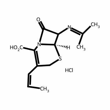 C/C=C\C1=C(C(=O)O)N2C(=O)C(N=C(C)C)[C@H]2SC1.Cl